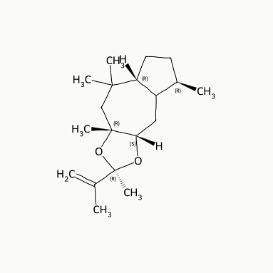 C=C(C)[C@]1(C)O[C@H]2CC3[C@H](C)CC[C@H]3C(C)(C)C[C@@]2(C)O1